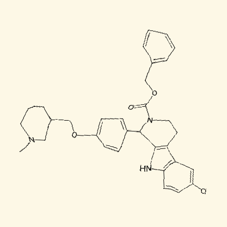 CN1CCCC(COc2ccc(C3c4[nH]c5ccc(Cl)cc5c4CCN3C(=O)OCc3ccccc3)cc2)C1